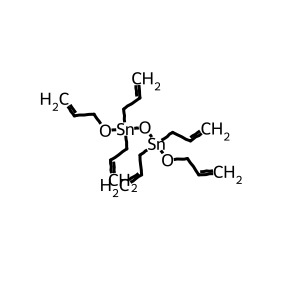 C=CC[O][Sn]([CH2]C=C)([CH2]C=C)[O][Sn]([CH2]C=C)([CH2]C=C)[O]CC=C